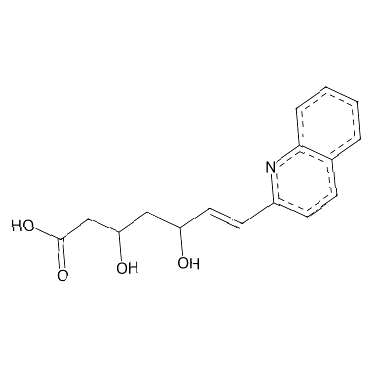 O=C(O)CC(O)CC(O)C=Cc1ccc2ccccc2n1